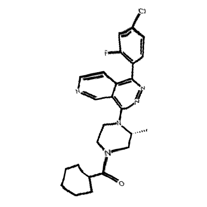 C[C@@H]1CN(C(=O)C2CCCCC2)CCN1c1nnc(-c2ccc(Cl)cc2F)c2ccncc12